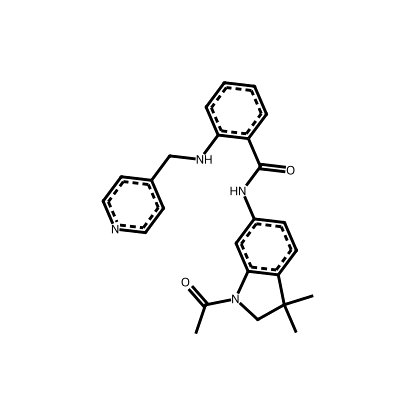 CC(=O)N1CC(C)(C)c2ccc(NC(=O)c3ccccc3NCc3ccncc3)cc21